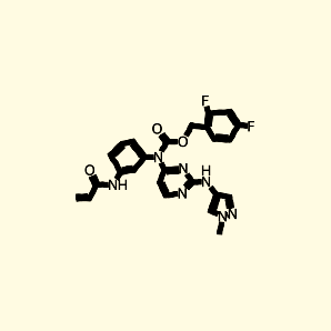 C=CC(=O)Nc1cccc(N(C(=O)OCc2ccc(F)cc2F)c2ccnc(Nc3cnn(C)c3)n2)c1